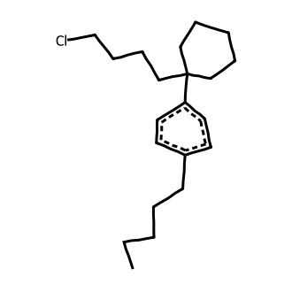 CCCCCc1ccc(C2(CCCCCl)CCCCC2)cc1